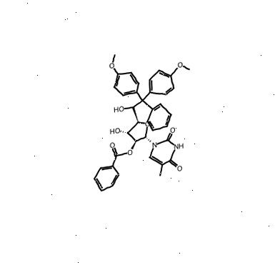 COc1ccc(C(c2ccccc2)(c2ccc(OC)cc2)C(O)[C@H]2O[C@H](n3cc(C)c(=O)[nH]c3=O)[C@@H](OC(=O)c3ccccc3)[C@@H]2O)cc1